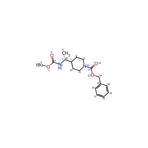 C[C@@H](NC(=O)OC(C)(C)C)C1CCN(C(=O)OCc2ccccc2)CC1